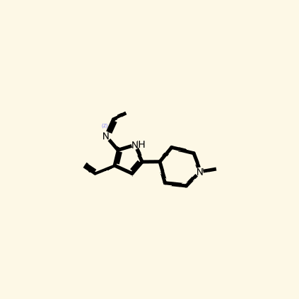 C=Cc1cc(C2CCN(C)CC2)[nH]c1/N=C\C